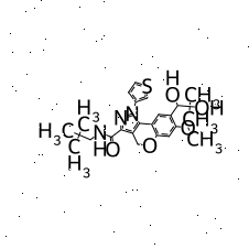 COc1cc2c(cc1C(O)C(C)(C)O)-c1c(c(C(=O)NCC(C)(C)C)nn1-c1ccsc1)CO2